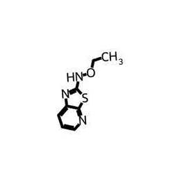 CCONc1nc2cccnc2s1